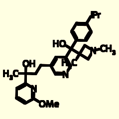 COc1cccc(C(C)(O)CCc2cncc(C(O)(c3ccc(C(C)C)cc3)C3(C)CN(C)C3)c2)n1